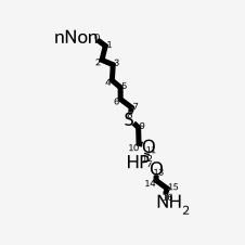 CCCCCCCCCCCCCCCCSCCOPOCCN